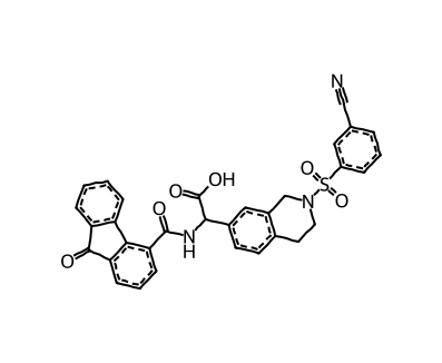 N#Cc1cccc(S(=O)(=O)N2CCc3ccc(C(NC(=O)c4cccc5c4-c4ccccc4C5=O)C(=O)O)cc3C2)c1